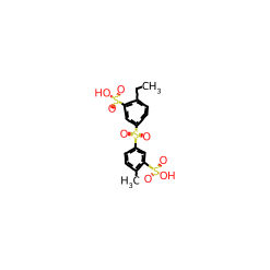 CCc1ccc(S(=O)(=O)c2ccc(C)c(S(=O)(=O)O)c2)cc1S(=O)(=O)O